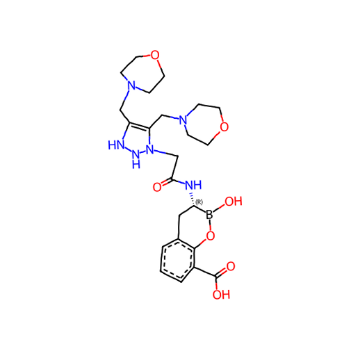 O=C(CN1NNC(CN2CCOCC2)=C1CN1CCOCC1)N[C@H]1Cc2cccc(C(=O)O)c2OB1O